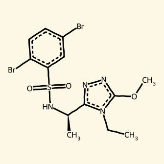 CCn1c(OC)nnc1[C@@H](C)NS(=O)(=O)c1cc(Br)ccc1Br